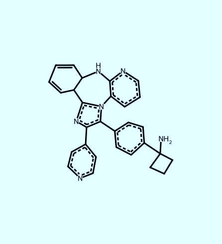 NC1(c2ccc(-c3c(-c4ccncc4)nc4n3-c3cccnc3NC3C=CC=CC43)cc2)CCC1